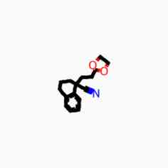 N#CC1(CCC2OCCO2)CCCc2ccccc21